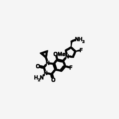 COc1c(N2C[C@@H](CN)[C@@H](F)C2)c(F)cc2c(=O)n(N)c(=O)n(C3CC3)c12